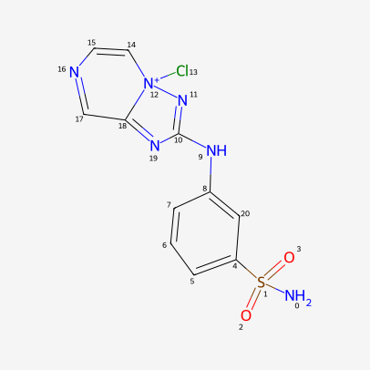 NS(=O)(=O)c1cccc(NC2=N[N+]3(Cl)C=CN=CC3=N2)c1